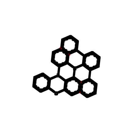 c1ccc(-c2cccc(-c3ccccc3)c2N2c3ccccc3B3c4ccccc4Oc4cccc2c43)cc1